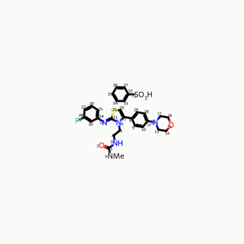 CNC(=O)NCCn1c(-c2ccc(N3CCOCC3)cc2)cs/c1=N\c1cccc(F)c1.O=S(=O)(O)c1ccccc1